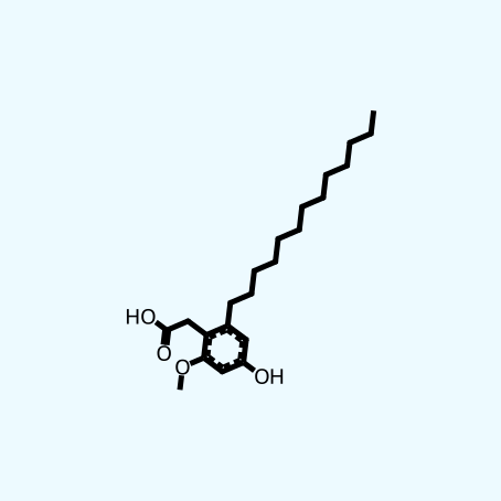 CCCCCCCCCCCCCc1cc(O)cc(OC)c1CC(=O)O